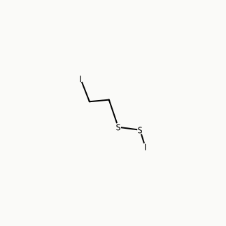 ICCSSI